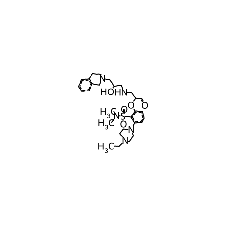 CCN1CCN(c2cccc(OC(C=O)CNC[C@@H](O)CN3CCc4ccccc4C3)c2S(=O)(=O)N(C)C)CC1